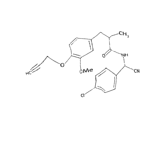 C#CCOc1ccc(CC(C)C(=O)NC(C#N)c2ccc(Cl)cc2)cc1OC